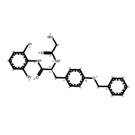 CC(C)c1cccc(C(C)C)c1NC(=O)[C@H](Cc1ccc(OCc2ccccc2)cc1)NC(=O)CC(C)(C)C